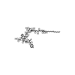 CCCCCCCCCCCCCC(O)CC(=O)NCC(=O)NCC(=O)NCC(=O)N[C@H](C(=O)NCC(=O)N[C@H](C(=O)N1CCCC1C(=O)N[C@@H](CCC(=O)O)C(=O)NCC(=O)N[C@H](C(=O)Oc1ccc(C)cc1)C(C)CC)C(C)C)C(C)O